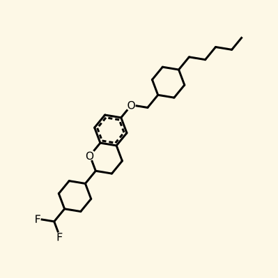 CCCCCC1CCC(COc2ccc3c(c2)CCC(C2CCC(C(F)F)CC2)O3)CC1